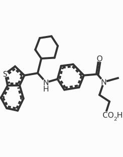 CN(CCC(=O)O)C(=O)c1ccc(NC(c2csc3ccccc23)C2CCCCC2)cc1